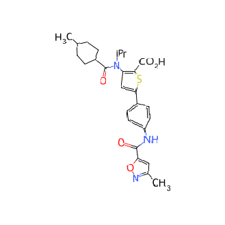 Cc1cc(C(=O)Nc2ccc(-c3cc(N(C(=O)C4CCC(C)CC4)C(C)C)c(C(=O)O)s3)cc2)on1